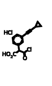 Cl.O=C(O)C(C(=O)Cl)c1cccc(C#CC2CC2)c1